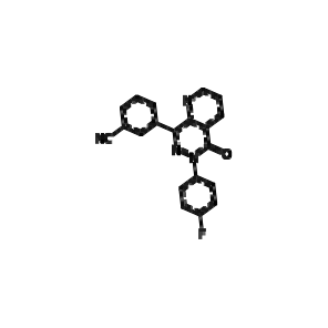 N#Cc1cccc(-c2nn(-c3ccc(F)cc3)c(=O)c3cccnc23)c1